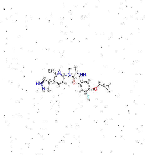 CCc1nc(N2CCC(Nc3ccc(F)c(OCC4CC4)c3)C2=O)ccc1-c1cn[nH]c1